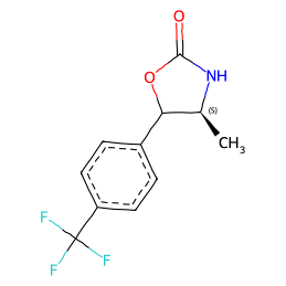 C[C@@H]1NC(=O)OC1c1ccc(C(F)(F)F)cc1